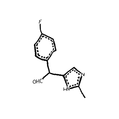 Cc1ncc(C(C=O)c2ccc(F)cc2)[nH]1